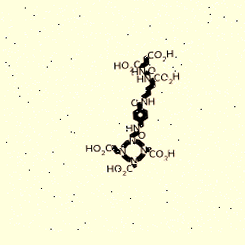 O=C(O)CCC(NC(=O)NC(CCCCNC(=O)C1CCC(CNC(=O)CN2CCN(CCC(=O)O)CCN(CC(=O)O)CCN(CC(=O)O)CC2)CC1)C(=O)O)C(=O)O